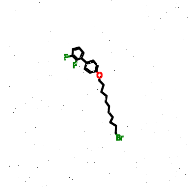 Fc1cccc(-c2ccc(OCCCCCCCCCCCBr)cc2)c1F